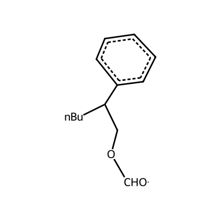 CCCCC(CO[C]=O)c1ccccc1